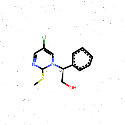 CSC1N=CC(Cl)=CN1[C@H](CO)c1ccccc1